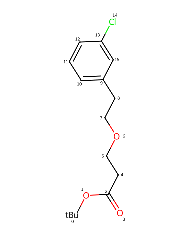 CC(C)(C)OC(=O)CCOCCc1cccc(Cl)c1